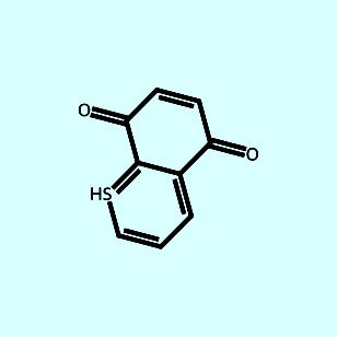 O=C1C=CC(=O)C2=[SH]C=CC=C12